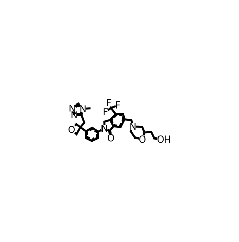 Cn1cnnc1CC1(c2cccc(N3Cc4c(cc(CN5CCOC(CCO)C5)cc4C(F)(F)F)C3=O)c2)COC1